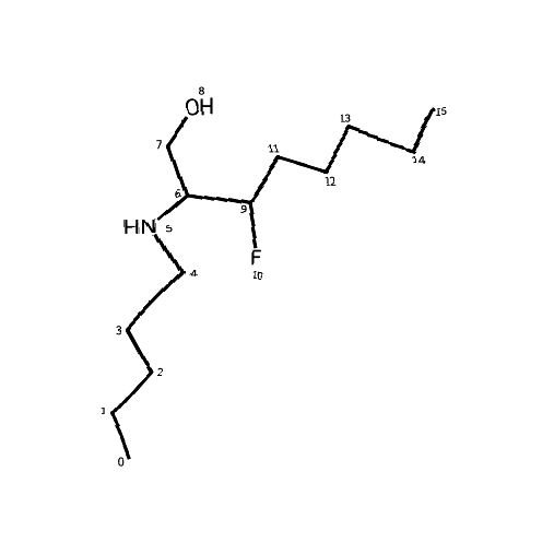 CCCCCNC(CO)C(F)CCCCC